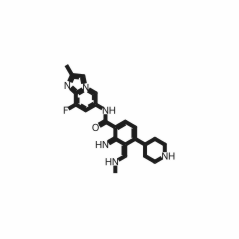 CN/C=C1\C(=N)C(C(=O)Nc2cc(F)c3nc(C)cn3c2)=CC=C1C1CCNCC1